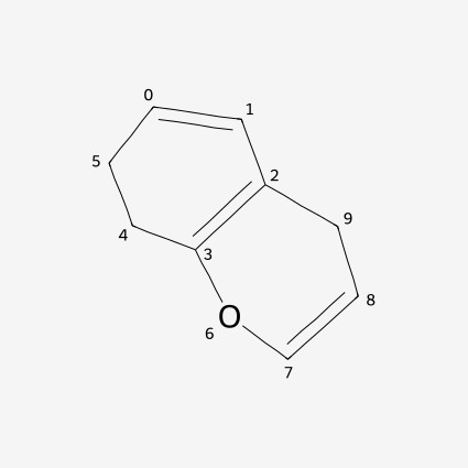 C1=CC2=C(CC1)OC=CC2